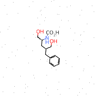 O=C(O)N[C@H](CO)CC(CO)Cc1ccccc1